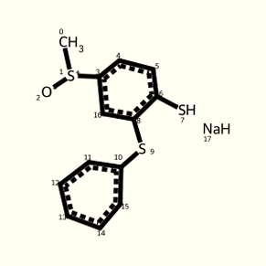 C[S+]([O-])c1ccc(S)c(Sc2ccccc2)c1.[NaH]